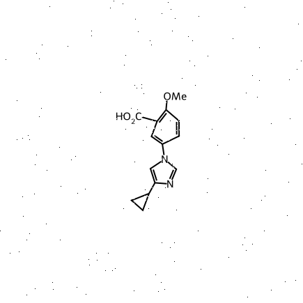 COc1ccc(-n2cnc(C3CC3)c2)cc1C(=O)O